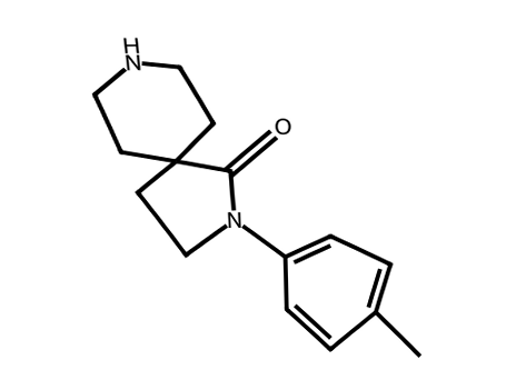 Cc1ccc(N2CCC3(CCNCC3)C2=O)cc1